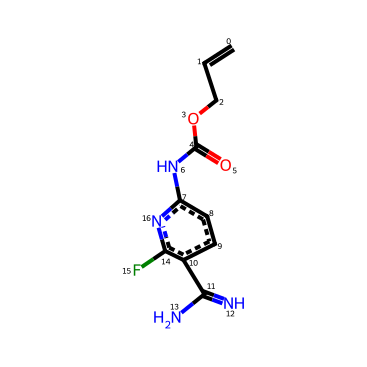 C=CCOC(=O)Nc1ccc(C(=N)N)c(F)n1